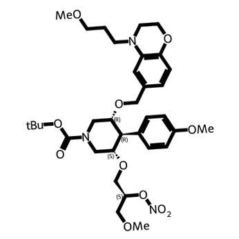 COCCCN1CCOc2ccc(CO[C@H]3CN(C(=O)OC(C)(C)C)C[C@@H](OC[C@H](COC)O[N+](=O)[O-])[C@@H]3c3ccc(OC)cc3)cc21